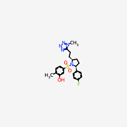 Cc1ccc(S(=O)(=O)N2[C@@H](CCc3nnnn3C)CC[C@H]2c2ccc(F)cc2)cc1O